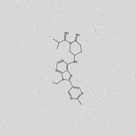 CCn1c(-c2cnc(C)nc2)nc2c(NC3CCC(=N)N(C(=N)C(C)C)C3)ncnc21